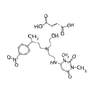 CC(CCN(CCO)CCNc1cc(=O)n(C)c(=O)n1C)c1ccc([N+](=O)[O-])cc1.O=C(O)C=CC(=O)O